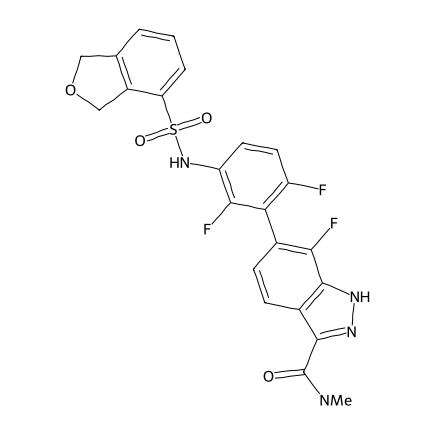 CNC(=O)c1n[nH]c2c(F)c(-c3c(F)ccc(NS(=O)(=O)c4cccc5c4COC5)c3F)ccc12